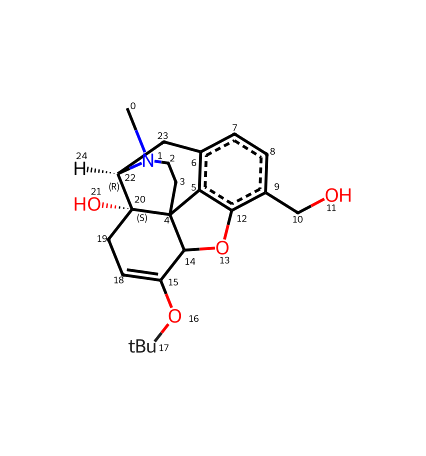 CN1CCC23c4c5ccc(CO)c4OC2C(OC(C)(C)C)=CC[C@@]3(O)[C@H]1C5